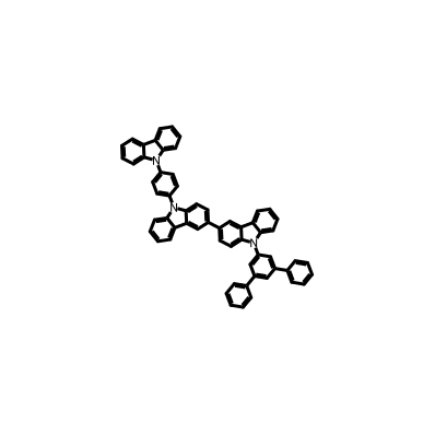 c1ccc(-c2cc(-c3ccccc3)cc(-n3c4ccccc4c4cc(-c5ccc6c(c5)c5ccccc5n6-c5ccc(-n6c7ccccc7c7ccccc76)cc5)ccc43)c2)cc1